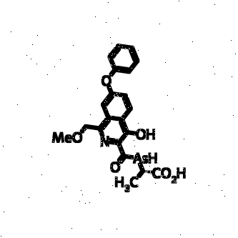 COCc1nc(C(=O)[AsH][C@@H](C)C(=O)O)c(O)c2ccc(Oc3ccccc3)cc12